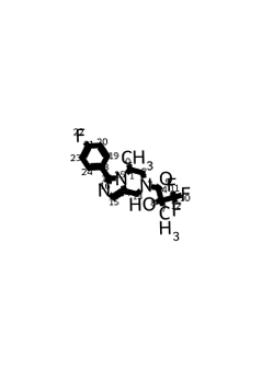 CC1CN(C(=O)C(C)(O)C(F)(F)F)Cc2cnc(-c3ccc(F)cc3)n21